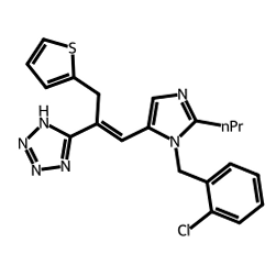 CCCc1ncc(/C=C(\Cc2cccs2)c2nnn[nH]2)n1Cc1ccccc1Cl